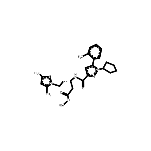 Cc1cc(C)n(CC[C@@H](CC(=O)OC(C)(C)C)NC(=O)c2cc(-c3ccccc3C(F)(F)F)n(C3CCCC3)n2)n1